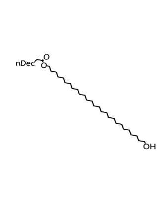 CCCCCCCCCCCC(=O)OCCCCCCCCCCCCCCCCCCCCCCCCCCCO